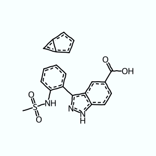 CS(=O)(=O)Nc1ccccc1-c1n[nH]c2ccc(C(=O)O)cc12.c1cc2cc-2c1